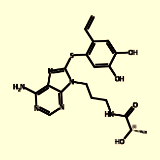 C=Cc1cc(O)c(O)cc1Sc1nc2c(N)ncnc2n1CCCNC(=O)[C@H](C)O